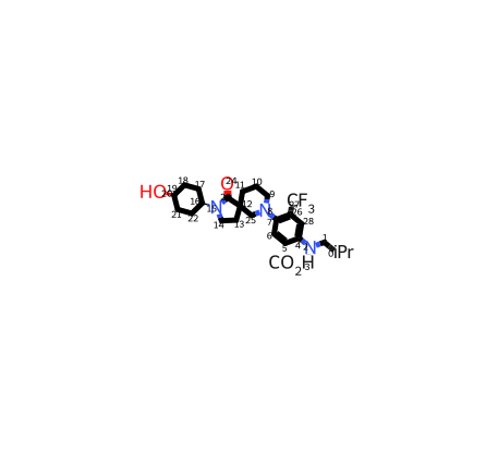 CC(C)CN(C(=O)O)c1ccc(N2CCCC3(CCN([C@H]4CC[C@H](O)CC4)C3=O)C2)c(C(F)(F)F)c1